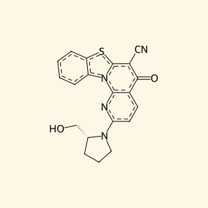 N#Cc1c(=O)c2ccc(N3CCC[C@@H]3CO)nc2n2c1sc1ccccc12